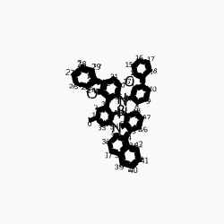 Cc1cc(-c2c(Nc3cccc4c3oc3ccccc34)ccc3c2oc2ccccc23)c2c(c1)-n1c3ccc4ccccc4c3c3cccc(c31)B2